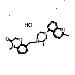 Cc1ccc2c(N3CCN(CCc4cccc5c4OCC(=O)N5C)[C@H](C)C3)cccc2n1.Cl